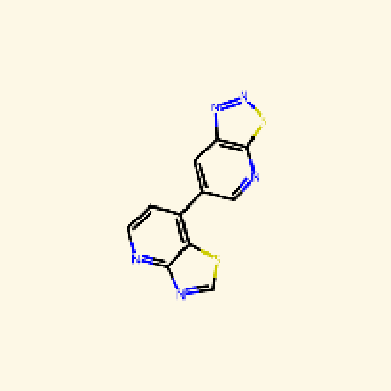 [c]1cc(-c2cnc3snnc3c2)c2scnc2n1